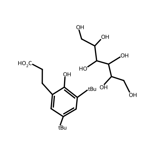 CC(C)(C)c1cc(CCC(=O)O)c(O)c(C(C)(C)C)c1.OCC(O)C(O)C(O)C(O)CO